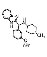 CCCOc1cccc(C(NC2CCN(C)CC2)c2nc3ccccc3[nH]2)c1